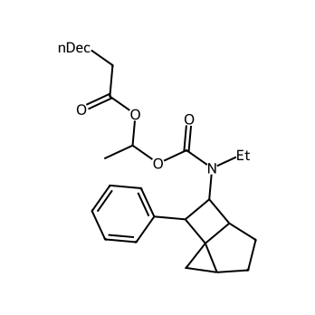 CCCCCCCCCCCC(=O)OC(C)OC(=O)N(CC)C1C2CCC3CC32C1c1ccccc1